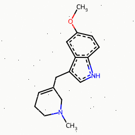 COc1ccc2[nH]cc(CC3=CCCN(C)C3)c2c1